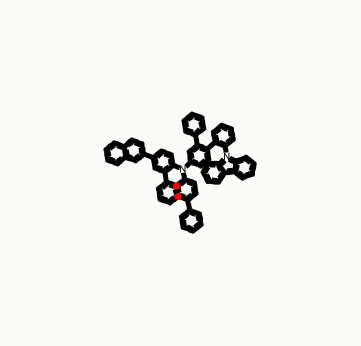 c1ccc(-c2ccc(N(c3ccc(-c4ccccc4-n4c5ccccc5c5ccccc54)c(-c4ccccc4)c3)c3ccc(-c4ccc5ccccc5c4)cc3-c3ccccc3)cc2)cc1